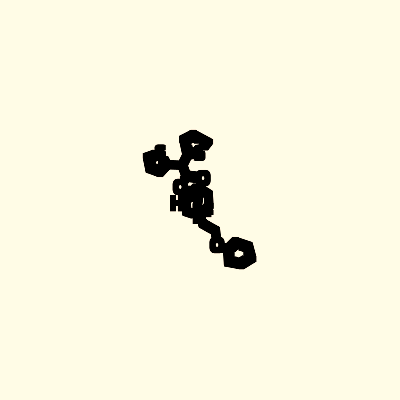 O=C(O[C@H]1C[N+]2(CCOc3ccccc3)CCC1CC2)C(c1cccs1)c1cccs1